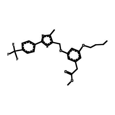 CCCCOc1cc(CC(=O)OC)cc(OCc2sc(-c3ccc(C(F)(F)F)cc3)nc2C)c1